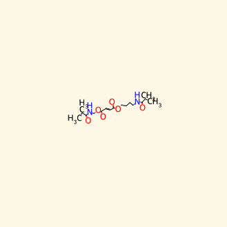 CC(C)C(=O)NCCCCOC(=O)/C=C/C(=O)OCNC(=O)C(C)C